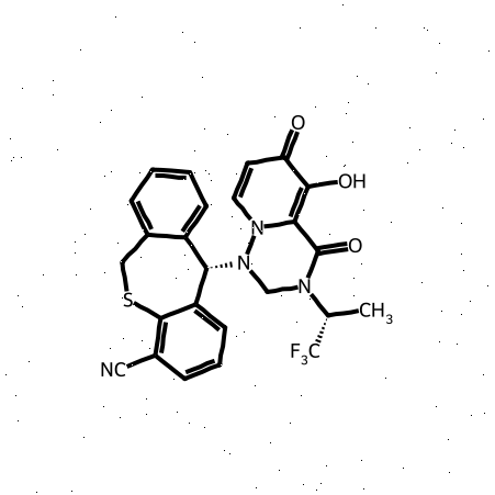 C[C@@H](N1CN([C@H]2c3ccccc3CSc3c(C#N)cccc32)n2ccc(=O)c(O)c2C1=O)C(F)(F)F